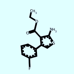 CCOC(=O)c1c(-c2cccc(F)c2)csc1N